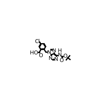 CC(C)(C)OC(=O)Nc1ncnc2c1ncn2Cc1ccc(Cl)cc1C(=O)O